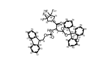 O=C(CC(NC(=O)OCC1c2ccccc2-c2ccccc21)C(=O)N1CC(F)(F)C(F)(F)C1)OC(c1ccccc1)(c1ccccc1)c1ccccc1Cl